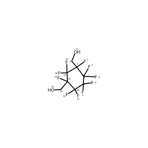 OCC1(F)C(F)(F)C(F)(F)C(F)(F)C(F)(CO)C1(F)F